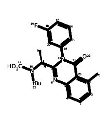 Cc1cccc2nc([C@H](C)N(C(=O)O)C(C)(C)C)n(-c3cccc(F)c3)c(=O)c12